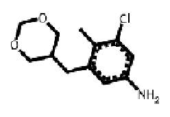 Cc1c(Cl)cc(N)cc1CC1COCOC1